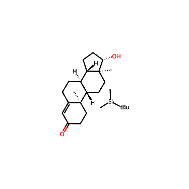 C[C@]12CC[C@H]3[C@@H](CCC4=CC(=O)CC[C@@]43C)[C@@H]1CC[C@@H]2O.C[Si](C)C(C)(C)C